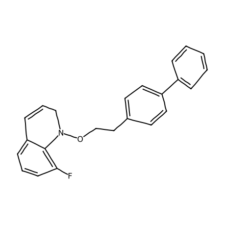 Fc1cccc2c1N(OCCc1ccc(-c3ccccc3)cc1)CC=C2